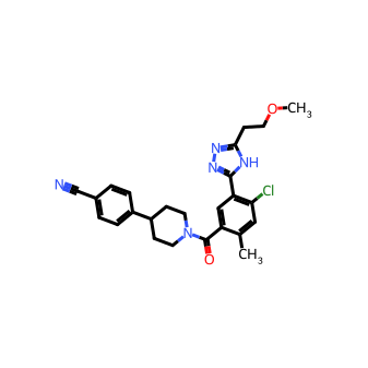 COCCc1nnc(-c2cc(C(=O)N3CCC(c4ccc(C#N)cc4)CC3)c(C)cc2Cl)[nH]1